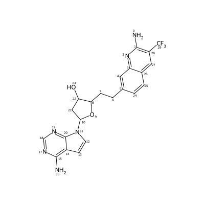 Nc1nc2cc(CCC3OC(n4ccc5c(N)ncnc54)CC3O)ccc2cc1C(F)(F)F